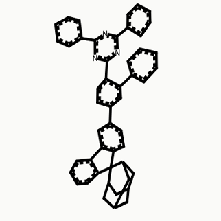 c1ccc(-c2nc(-c3ccccc3)nc(-c3ccc(-c4ccc5c(c4)-c4ccccc4C54C5CC6CC(C5)CC4C6)cc3-c3ccccc3)n2)cc1